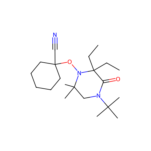 CCC1(CC)C(=O)N(C(C)(C)C)CC(C)(C)N1OC1(C#N)CCCCC1